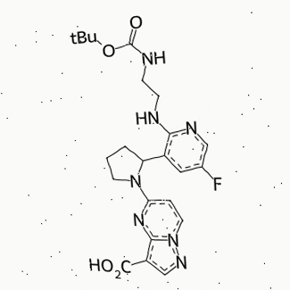 CC(C)(C)OC(=O)NCCNc1ncc(F)cc1C1CCCN1c1ccn2ncc(C(=O)O)c2n1